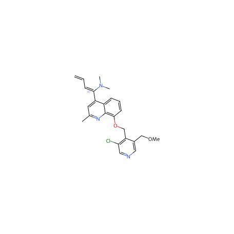 C=C/C=C(/c1cc(C)nc2c(OCc3c(Cl)cncc3COC)cccc12)N(C)C